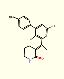 C/C(=C1/CCCNC1=O)c1cc(Cl)cc(-c2ccc(C(C)(C)C)cc2)c1C